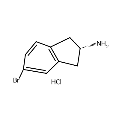 Cl.N[C@H]1Cc2ccc(Br)cc2C1